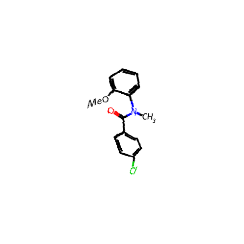 COc1ccccc1N(C)C(=O)c1ccc(Cl)cc1